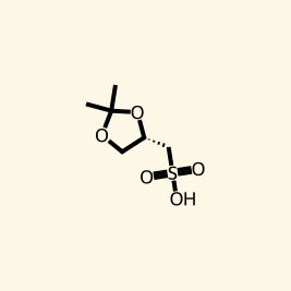 CC1(C)OC[C@@H](CS(=O)(=O)O)O1